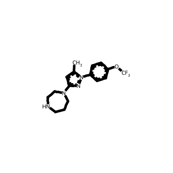 Cc1cc(N2CCCNCC2)nn1-c1ccc(OC(F)(F)F)cc1